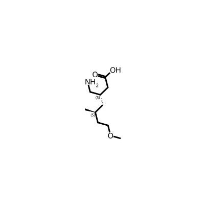 COCC[C@@H](C)C[C@H](CN)CC(=O)O